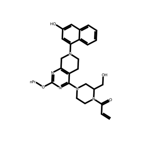 C=CC(=O)N1CCN(c2nc(OCCC)nc3c2CCN(c2cc(O)cc4ccccc24)C3)CC1CO